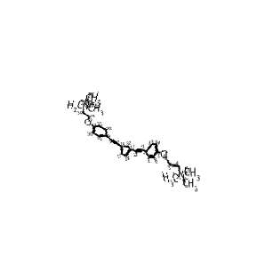 C[N+](C)(C)CCOc1ccc(C#CC2=CC=C(C#Cc3ccc(OCC[N+](C)(C)C)cc3)C2)cc1